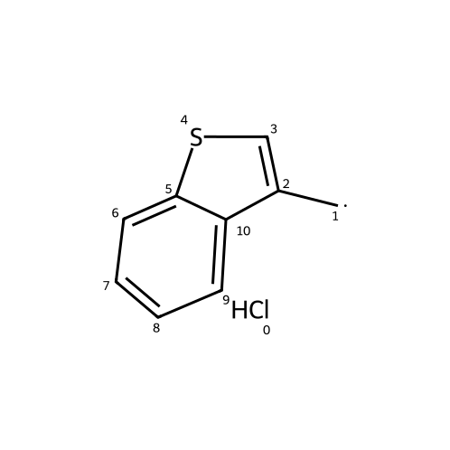 Cl.[CH2]c1csc2ccccc12